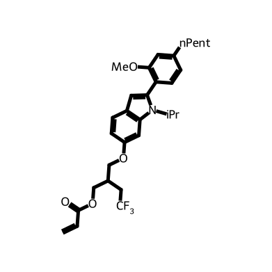 C=CC(=O)OCC(COc1ccc2cc(-c3ccc(CCCCC)cc3OC)n(C(C)C)c2c1)CC(F)(F)F